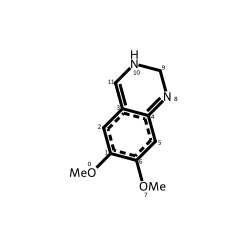 COc1cc2c(cc1OC)=NCNC=2